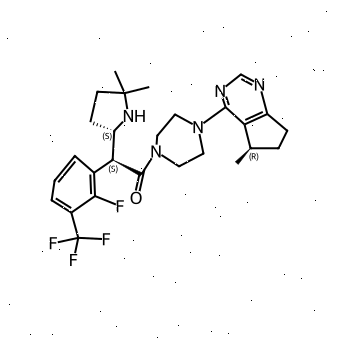 C[C@@H]1CCc2ncnc(N3CCN(C(=O)[C@@H](c4cccc(C(F)(F)F)c4F)[C@@H]4CCC(C)(C)N4)CC3)c21